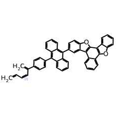 C=C/C=C\C(=C)c1ccc(-c2c3ccccc3c(-c3ccc4oc5c(c4c3)c3ccccc3c3oc4ccccc4c35)c3ccccc23)cc1